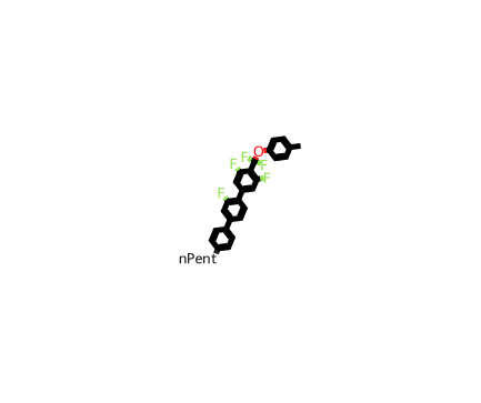 CCCCCc1ccc(-c2ccc(-c3cc(F)c(C(F)(F)Oc4ccc(C)cc4)c(F)c3)c(F)c2)cc1